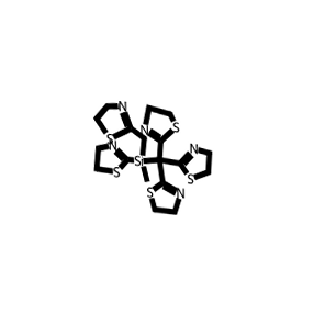 C[Si](CC1=NCCS1)(C1=NCCS1)C(C1=NCCS1)(C1=NCCS1)C1=NCCS1